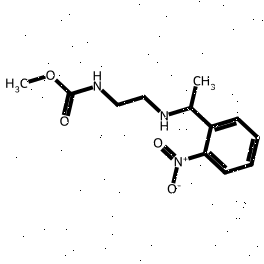 COC(=O)NCCNC(C)c1ccccc1[N+](=O)[O-]